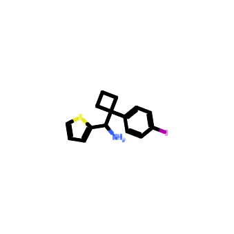 NC(c1cccs1)C1(c2ccc(I)cc2)CCC1